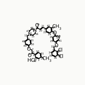 Cc1ccc(C(=O)COc2ccc(CN3CCN(C(=O)/C=C/c4ccc(Oc5ccc(OCc6cccc(Cl)c6Cl)cn5)c(C)c4)CC3)cc2)cc1.Cl